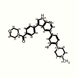 CN1CCN(c2ccc(-c3cnc4[nH]cc(-c5ccc(C(=O)N6CCOCC6)cc5)c4c3)cc2F)CC1